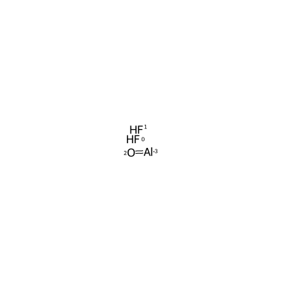 F.F.[O]=[Al]